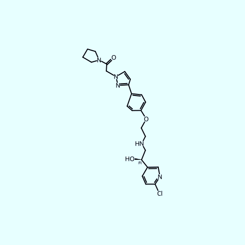 O=C(Cn1ccc(-c2ccc(OCCNC[C@H](O)c3ccc(Cl)nc3)cc2)n1)N1CCCC1